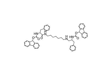 O=C(NC(CNCCCCCCCNC(=O)C(Cc1ccccc1)NC(=O)OC1c2ccccc2-c2ccccc21)Cc1ccccc1)OC1c2ccccc2-c2ccccc21